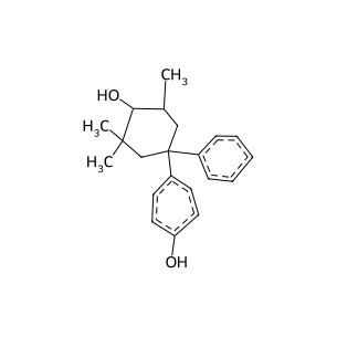 CC1CC(c2ccccc2)(c2ccc(O)cc2)CC(C)(C)C1O